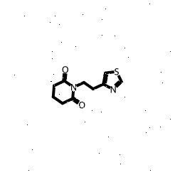 O=C1CCCC(=O)N1CCc1cscn1